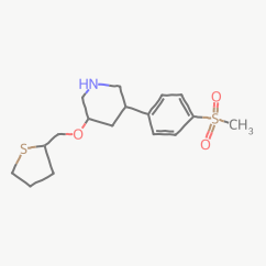 CS(=O)(=O)c1ccc(C2CNCC(OCC3CCCS3)C2)cc1